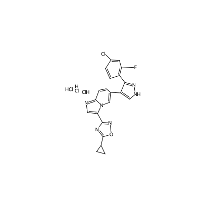 Cl.Cl.Cl.Fc1cc(Cl)ccc1-c1n[nH]cc1-c1ccc2ncc(-c3noc(C4CC4)n3)n2c1